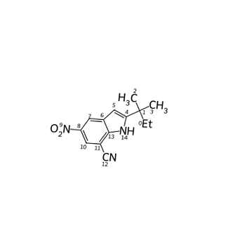 CCC(C)(C)c1cc2cc([N+](=O)[O-])cc(C#N)c2[nH]1